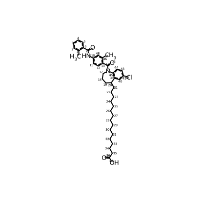 Cc1ccccc1C(=O)Nc1ccc(C(=O)N2CCCC(CCCCCCCCCCCCCCCC(=O)O)c3cc(Cl)ccc32)c(C)c1